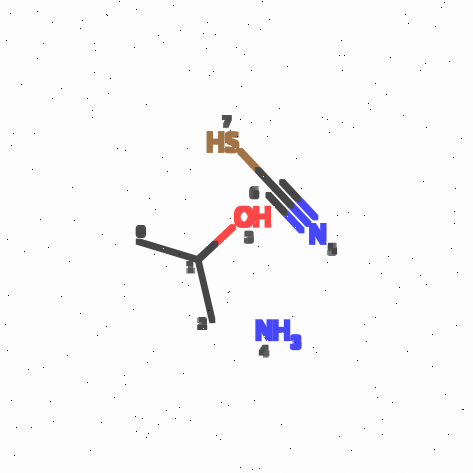 CC(C)O.N.N#CS